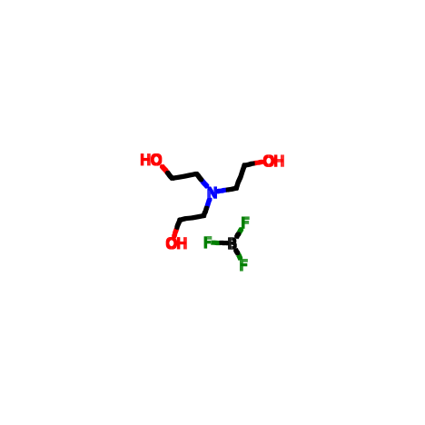 FB(F)F.OCCN(CCO)CCO